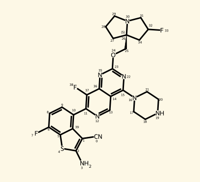 N#Cc1c(N)sc2c(F)ccc(-c3ncc4c(N5CCNCC5)nc(OC[C@@]56CCCN5CC(F)C6)nc4c3F)c12